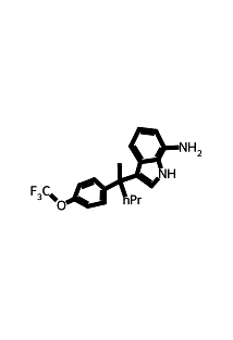 CCCC(C)(c1ccc(OC(F)(F)F)cc1)c1c[nH]c2c(N)cccc12